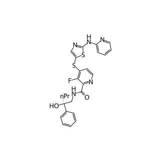 CCC[C@](O)(CNC(=O)c1nccc(Sc2cnc(Nc3ccccn3)s2)c1F)c1ccccc1